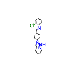 Clc1ccccc1N=Cc1ccc(N2C=C3C=CC=CN3N2)cc1